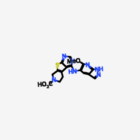 COc1nc2[nH]ncc2cc1Nc1ncnc2sc3c(c12)CCN(C(=O)O)C3